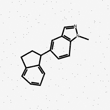 Cn1ncc2cc(C3CCc4ccccc43)ccc21